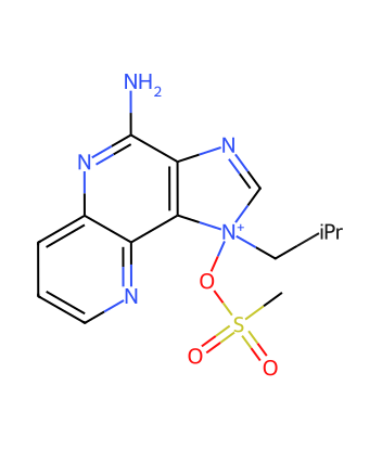 CC(C)C[N+]1(OS(C)(=O)=O)C=Nc2c(N)nc3cccnc3c21